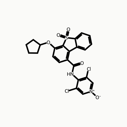 O=C(Nc1c(Cl)c[n+]([O-])cc1Cl)c1ccc(OC2CCCC2)c2c1-c1ccccc1S2(=O)=O